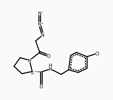 [N-]=[N+]=NCC(=O)N1CCC[C@H]1C(=O)NCc1ccc(Cl)cc1